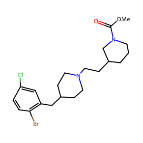 COC(=O)N1CCCC(CCN2CCC(Cc3cc(Cl)ccc3Br)CC2)C1